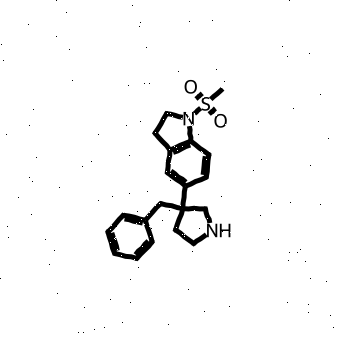 CS(=O)(=O)N1CCc2cc(C3(Cc4ccccc4)CCNC3)ccc21